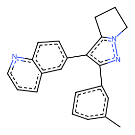 Cc1cccc(-c2nn3c(c2-c2ccc4ncccc4c2)CCC3)c1